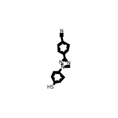 N#Cc1ccc(-c2ncn(-c3ccc(S)cc3)n2)cc1